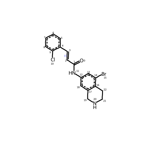 O=C(/C=C/c1ccccc1Cl)Nc1cc(Br)c2c(c1)CNCC2